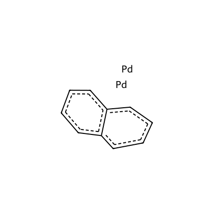 [Pd].[Pd].c1ccc2ccccc2c1